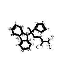 CC(CCC(Cl)[CH](Cl)[Zr])(C1=CC=CC1)C1c2ccccc2-c2ccccc21